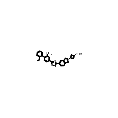 Cc1cc(-c2nc(-c3ccc4c(c3)CN([C@H]3C[C@H](C=O)C3)C4)no2)ccc1-c1ccccc1CF